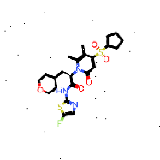 Cc1c(S(=O)(=O)C2CCCC2)cc(=O)n([C@H](CC2CCOCC2)C(=O)Nc2ncc(F)s2)c1C